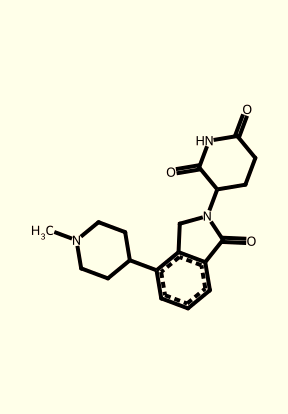 CN1CCC(c2cccc3c2CN(C2CCC(=O)NC2=O)C3=O)CC1